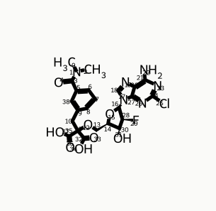 CN(C)C(=O)c1cccc(CC(OC[C@H]2O[C@@H](n3cnc4c(N)nc(Cl)nc43)[C@@H](F)[C@@H]2O)(C(=O)O)C(=O)O)c1